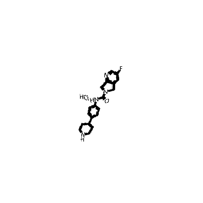 Cl.O=C(Nc1ccc(C2CCNCC2)cc1)N1Cc2cc(F)cnc2C1